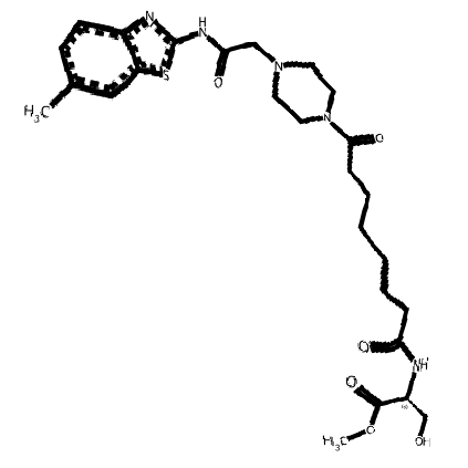 COC(=O)[C@H](CO)NC(=O)CCCCCCC(=O)N1CCN(CC(=O)Nc2nc3ccc(C)cc3s2)CC1